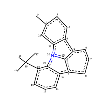 Cc1ccc2c3cccc4c5cccc(C(C)(C)C)c5n(c2c1)c34